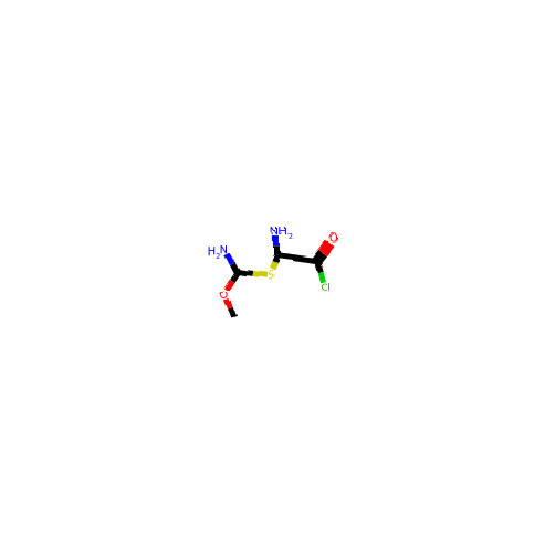 COC(N)SC(N)C(=O)Cl